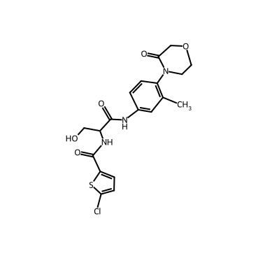 Cc1cc(NC(=O)C(CO)NC(=O)c2ccc(Cl)s2)ccc1N1CCOCC1=O